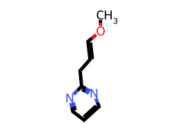 COC=CCc1ncccn1